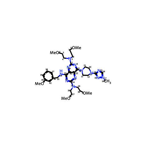 COCCN(CCOC)c1nc(N2CCN(c3ncn(C)n3)CC2)c2nc(N(CCOC)CCOC)nc(NCc3cccc(OC)c3)c2n1